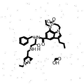 CCCc1cn2c3c(cc(C(=O)N[C@@H](Cc4ccccc4)[C@H](O)CNCc4cnn(CC)c4)cc13)N(CC)S(=O)(=O)CC2.O=CO